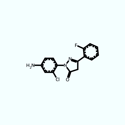 Nc1ccc(N2N=C(c3ccccc3F)CC2=O)c(Cl)c1